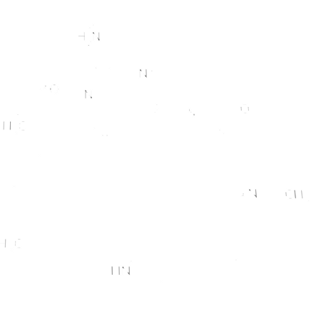 Cc1cc(C)c2cc1CNCCCCN(C)CC(=O)Sc1cc-2[n+]([O-])c(N)n1